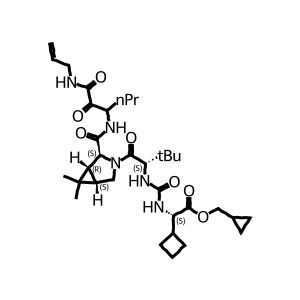 C=CCNC(=O)C(=O)C(CCC)NC(=O)[C@@H]1[C@@H]2[C@H](CN1C(=O)[C@@H](NC(=O)N[C@H](C(=O)OCC1CC1)C1CCC1)C(C)(C)C)C2(C)C